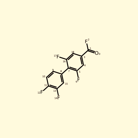 O=C(F)c1cc(F)c(-c2ccc(F)c(F)c2)c(F)c1